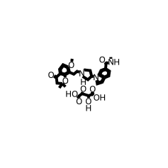 CNC(=O)c1ccc2ccn(C3CCN(CCc4c(OC)ccc5c4OC(C)(C)CC5=O)CC3)c2c1.O=C(O)C(O)C(O)C(=O)O